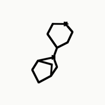 C1CC(N2CC3CCC2C3)CC[N]1